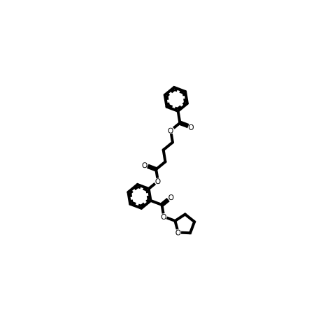 O=C(CCCOC(=O)c1ccccc1)Oc1ccccc1C(=O)OC1CCCO1